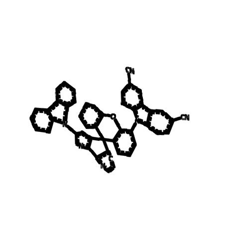 N#Cc1ccc2c(c1)c1cc(C#N)ccc1n2-c1cccc2c1Oc1ccccc1C21c2cccnc2-c2ncc(-n3c4ccccc4c4ccccc43)cc21